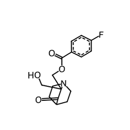 O=C(OCC1(CO)C(=O)C2CCN1CC2)c1ccc(F)cc1